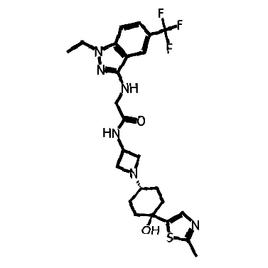 CCn1nc(NCC(=O)NC2CN([C@H]3CC[C@@](O)(c4cnc(C)s4)CC3)C2)c2cc(C(F)(F)F)ccc21